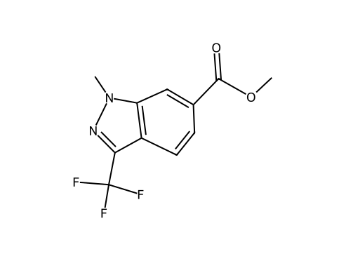 COC(=O)c1ccc2c(C(F)(F)F)nn(C)c2c1